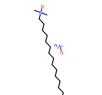 CCCCCCCCCCCCCCCC[N+](C)(C)[O-].[NH3+][O-]